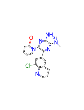 CN(C)c1nc(-c2cc(Cl)c3ncccc3c2)c(-n2ccccc2=O)nc1N